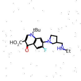 CCNCC1CCN(c2cc3c(cc2F)c(=O)c(C(=O)O)cn3C(C)(C)C)C1